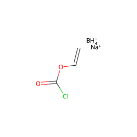 C=COC(=O)Cl.[BH4-].[Na+]